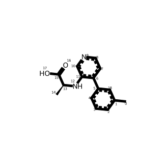 Cc1cccc(-c2ccncc2N[C@@H](C)C(=O)O)c1